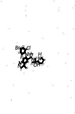 Cc1cnnc2c(F)c(Nc3ccc(Br)cc3Cl)c(C(=O)N3CC(O)(C4CCCCN4)C3)cc12